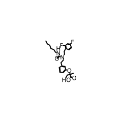 CCCCCCNC(=O)N(CCc1cccc(OC(C)(CC)C(=O)O)c1)CCc1ccc(F)cc1F